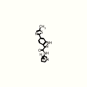 Cc1cnc(-c2ccc3c(C(=O)N[C@@H]4CN5CCC4CC5)n[nH]c3c2)s1